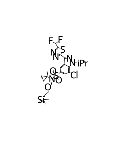 CC(C)n1nc(-c2nnc(C(F)F)s2)c2cc(S(=O)(=O)N(COCC[Si](C)(C)C)C3(C)CC3)cc(Cl)c21